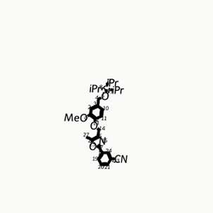 COc1cc(CO[Si](C(C)C)(C(C)C)C(C)C)ccc1OCc1nc(-c2cccc(C#N)c2)oc1C